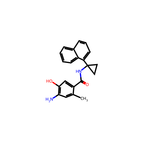 Cc1cc(N)c(O)cc1C(=O)NC1(c2cccc3ccccc23)CC1